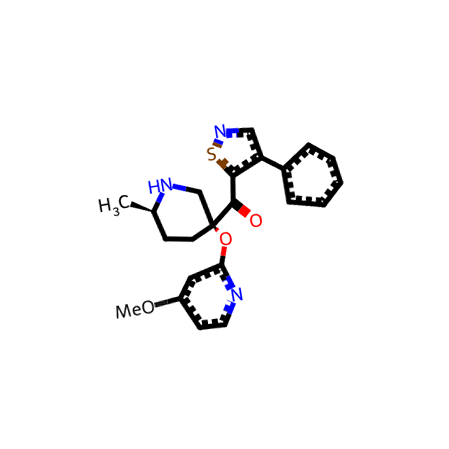 COc1ccnc(O[C@]2(C(=O)c3sncc3-c3ccccc3)CC[C@@H](C)NC2)c1